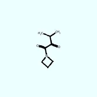 CC(C)C(=O)C(=O)N1CCC1